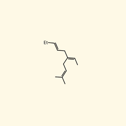 CC=C(CC=CCC)CC=C(C)C